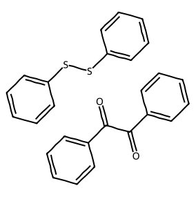 O=C(C(=O)c1ccccc1)c1ccccc1.c1ccc(SSc2ccccc2)cc1